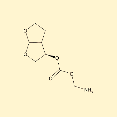 NCOC(=O)O[C@H]1COC2OCCC21